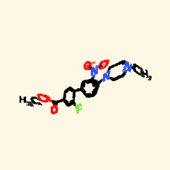 COC(=O)c1ccc(-c2ccc(N3CCN(C)CC3)c([N+](=O)[O-])c2)c(F)c1